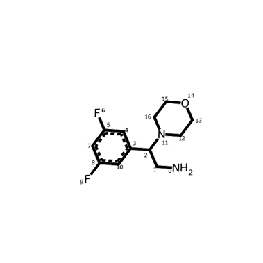 NCC(c1cc(F)cc(F)c1)N1CCOCC1